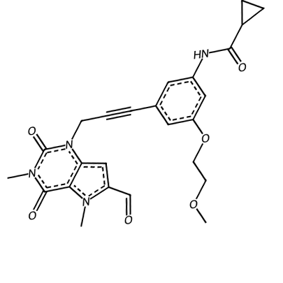 COCCOc1cc(C#CCn2c(=O)n(C)c(=O)c3c2cc(C=O)n3C)cc(NC(=O)C2CC2)c1